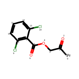 CC(C)C(=O)COC(=O)c1c(Cl)cccc1Cl